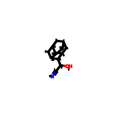 N#CC(O)C1C2CC3CC(C2)CC1C3